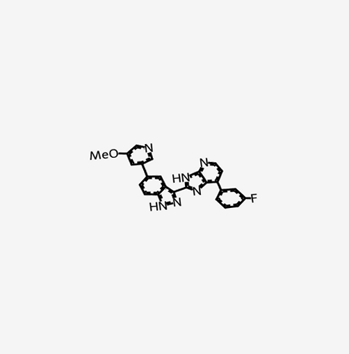 COc1cncc(-c2ccc3[nH]nc(-c4nc5c(-c6cccc(F)c6)ccnc5[nH]4)c3c2)c1